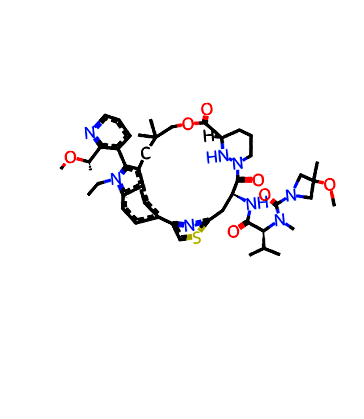 CCn1c(-c2cccnc2[C@H](C)OC)c2c3cc(ccc31)-c1csc(n1)C[C@H](NC(=O)[C@H](C(C)C)N(C)C(=O)N1CC(C)(OC)C1)C(=O)N1CCC[C@H](N1)C(=O)OCC(C)(C)C2